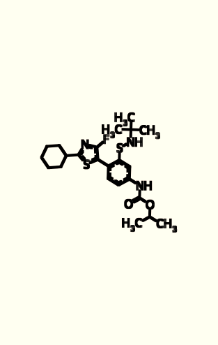 CC(C)OC(=O)Nc1ccc(-c2sc(C3CCCCC3)nc2F)c(SNC(C)(C)C)c1